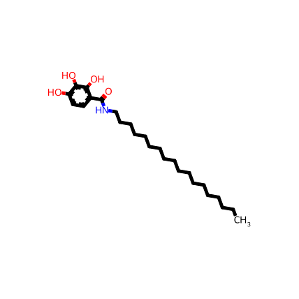 CCCCCCCCCCCCCCCCCCNC(=O)c1ccc(O)c(O)c1O